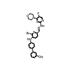 Oc1cccc(-c2ccc(Nc3ccc(/C=N/Nc4ncc(F)c(N5CCOCC5)n4)nc3Br)cc2)c1